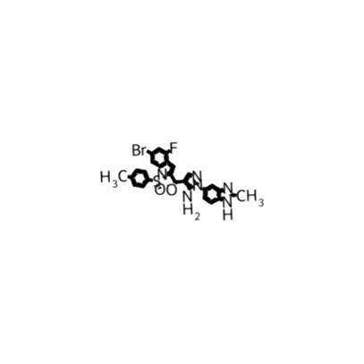 Cc1ccc([S+]([O-])n2c(C(=O)c3cnn(-c4ccc5[nH]c(C)nc5c4)c3N)cc3c(F)cc(Br)cc32)cc1